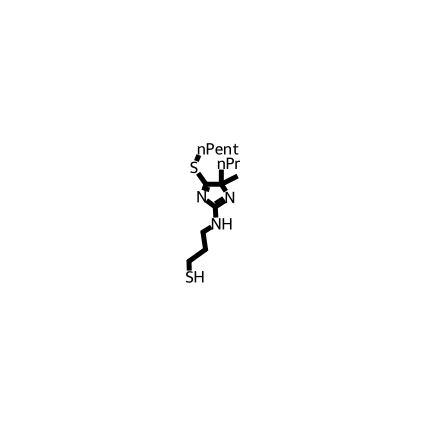 CCCCCSC1=NC(NCCCS)=NC1(C)CCC